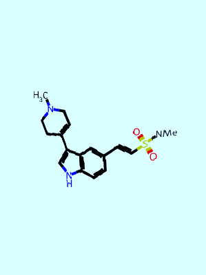 CNS(=O)(=O)C=Cc1ccc2[nH]cc(C3=CCN(C)CC3)c2c1